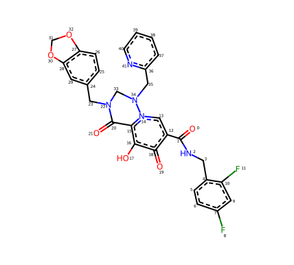 O=C(NCc1ccc(F)cc1F)c1cn2c(c(O)c1=O)C(=O)N(Cc1ccc3c(c1)OCO3)CN2Cc1ccccn1